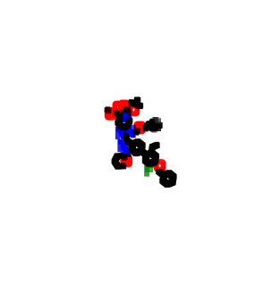 CCc1cc(OCc2ccccc2)c(F)cc1-c1ccc2c(-c3nc4c(n3COCC[Si](C)(C)C)CN(C(=O)OC(C)(C)C)[C@H](C(=O)OC)C4)nn(C3CCCCO3)c2c1